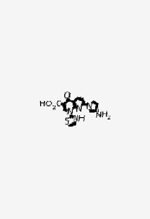 N[C@@H]1CCN(c2ccc3c(=O)c(C(=O)O)cn(C4NC=CS4)c3n2)C1